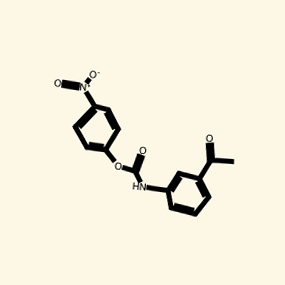 CC(=O)c1cccc(NC(=O)Oc2ccc([N+](=O)[O-])cc2)c1